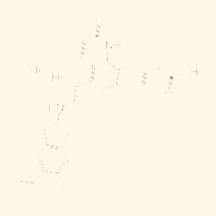 CCc1cc2c(cc1CC)CC(NCC(O)c1ccc(OC(=O)CC(=O)O)c3[nH]c(=O)ccc13)C2.Cl